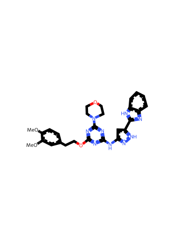 COc1ccc(CCOc2nc(Nc3cc(-c4nc5ccccc5[nH]4)[nH]n3)nc(N3CCOCC3)n2)cc1OC